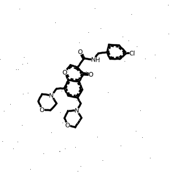 O=C(NCc1ccc(Cl)cc1)c1coc2c(CN3CCOCC3)cc(CN3CCOCC3)cc2c1=O